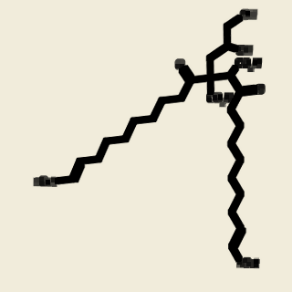 CCCCCCCCC=CCCCCCCCC(=O)C(C(=O)O)C(CC(O)CO)(C(=O)O)C(=O)CCCCCCCC=CCCCCCCCC